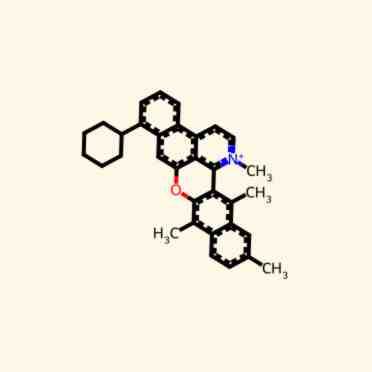 Cc1ccc2c(C)c3c(c(C)c2c1)-c1c2c(cc4c(C5CCCCC5)cccc4c2cc[n+]1C)O3